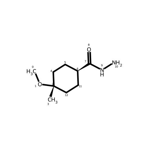 CO[C@]1(C)CC[C@@H](C(=O)NN)CC1